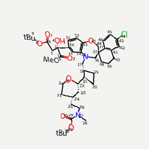 COC(=O)[C@@](O)(CC(=O)OC(C)(C)C)c1ccc2c(c1)N(C[C@@H]1CC[C@H]1[C@@H]1C[C@H](CCN(C)C(=O)OC(C)(C)C)CCO1)C[C@@]1(CCCc3cc(Cl)ccc31)CO2